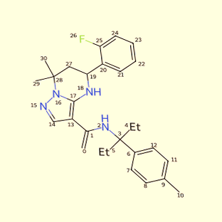 C=C(NC(CC)(CC)c1ccc(C)cc1)c1cnn2c1NC(c1ccccc1F)CC2(C)C